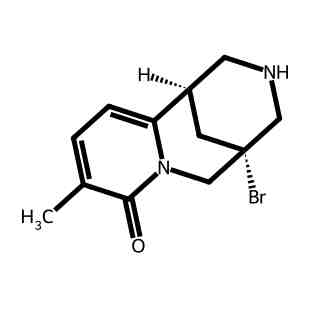 Cc1ccc2n(c1=O)C[C@]1(Br)CNC[C@H]2C1